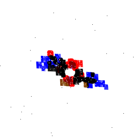 CO[C@H]1[C@H]2OP(=O)(O)OC[C@H]3O[C@@H](c4snc5c(N)ncnc45)C[C@@H]3OP(=O)(S)OC[C@H]1O[C@H]2N1C=NC2C(=O)NC(N)=NC21